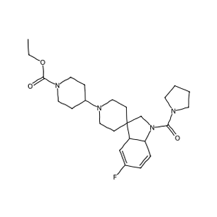 CCOC(=O)N1CCC(N2CCC3(CC2)CN(C(=O)N2CCCC2)C2C=CC(F)=CC23)CC1